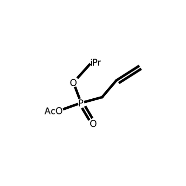 C=CCP(=O)(OC(C)=O)OC(C)C